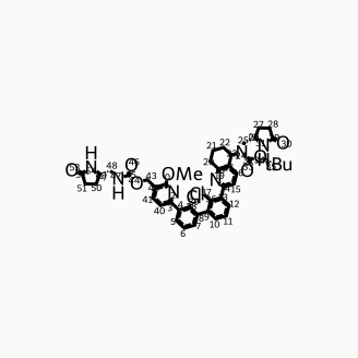 COc1nc(-c2cccc(-c3cccc(-c4ccc5c(n4)CCCC5N(C[C@@H]4CCC(=O)N4)C(=O)OC(C)(C)C)c3Cl)c2Cl)ccc1COC(=O)NC[C@@H]1CCC(=O)N1